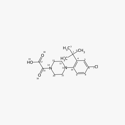 CC(C)(C)c1cc(Cl)ccc1N1CCN(C(=O)C(=O)O)CC1